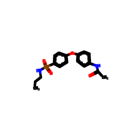 CCCNS(=O)(=O)c1ccc(Oc2ccc(NC(C)=O)cc2)cc1